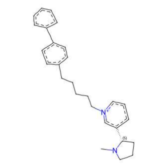 CN1CCC[C@H]1c1ccc[n+](CCCCCc2ccc(-c3ccccc3)cc2)c1